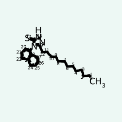 CCCCCCCCCCCCCc1n[nH]c(=S)n1-c1cccc2ccccc12